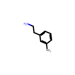 NCCc1cccc([N+](=O)[O-])c1